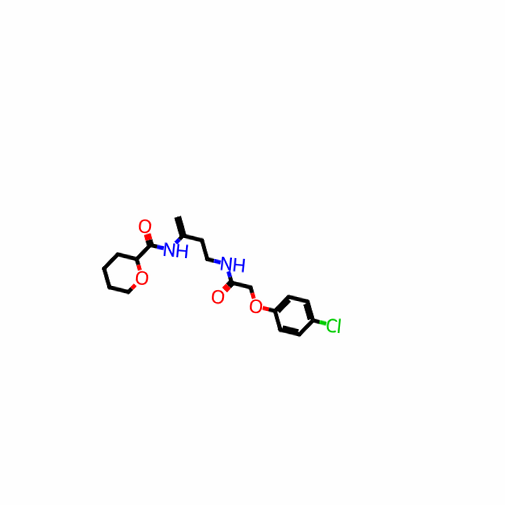 C=C(CCNC(=O)COc1ccc(Cl)cc1)NC(=O)C1CCCCO1